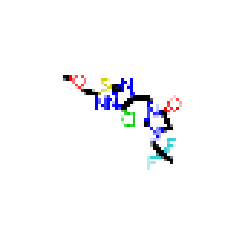 COCc1nn2c(Cl)c(CN3CN(CC(C)(F)F)CC3=O)nc2s1